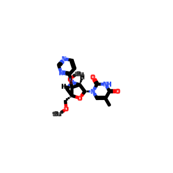 Cc1cn([C@@H]2O[C@@]3(COC(C)(C)C)CN(c4ccncn4)[C@@H]2[C@@H]3OC(C)(C)C)c(=O)[nH]c1=O